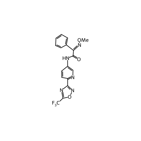 CO/N=C(/C(=O)Nc1ccc(-c2noc(C(F)(F)F)n2)nc1)c1ccccc1